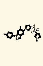 Cc1cc2c(cnn2-c2ccc(F)cc2)cc1N1CC[C@@H](NS(=O)(=O)c2ccn(C)c2)C1